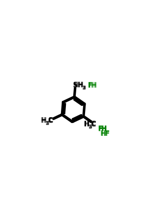 Cc1cc(C)cc([SiH3])c1.F.F.F